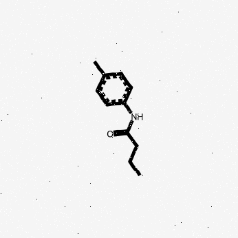 [CH2]CCC(=O)Nc1ccc(C)cc1